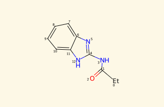 CCC(=O)Nc1nc2ccccc2[nH]1